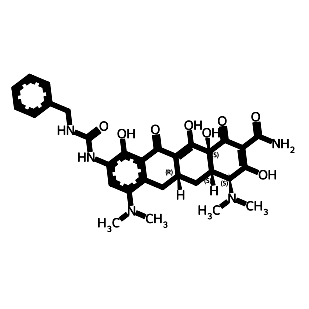 CN(C)c1cc(NC(=O)NCc2ccccc2)c(O)c2c1C[C@H]1C[C@H]3[C@H](N(C)C)C(O)=C(C(N)=O)C(=O)[C@@]3(O)C(O)=C1C2=O